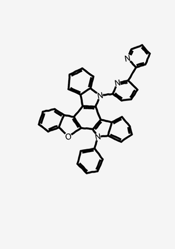 c1ccc(-n2c3ccccc3c3c2c2oc4ccccc4c2c2c4ccccc4n(-c4cccc(-c5ccccn5)n4)c23)cc1